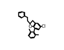 Cc1cccc(C)c1-c1cc(Cl)cc2c1OC(CCc1ccccc1)C2